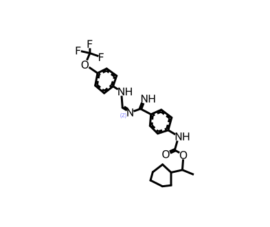 CC(OC(=O)Nc1ccc(C(=N)/N=C\Nc2ccc(OC(F)(F)F)cc2)cc1)C1CCCCC1